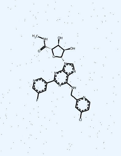 CNC(=O)[C@H]1O[C@@H](n2cnc3c(NCc4cc(Cl)ccn4)nc(-c4cncc(F)c4)nc32)[C@H](O)[C@@H]1O